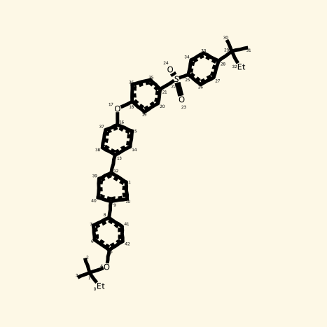 CCC(C)(C)Oc1ccc(-c2ccc(-c3ccc(Oc4ccc(S(=O)(=O)c5ccc(C(C)(C)CC)cc5)cc4)cc3)cc2)cc1